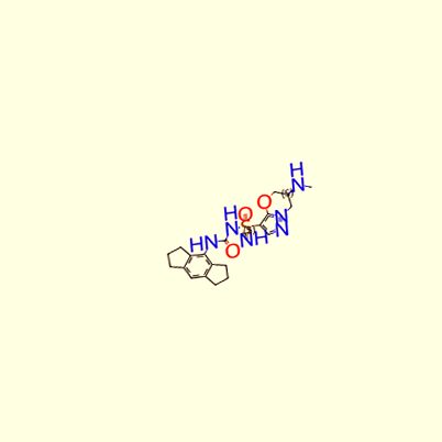 CN[C@@H]1COc2c([S@](=N)(=O)NC(=O)Nc3c4c(cc5c3CCC5)CCC4)cnn2C1